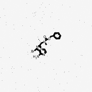 C[C@@H](c1nc(Br)c2c(N)nccn12)N(C)C(=O)OCc1ccccc1